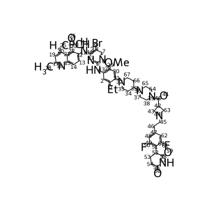 CCc1cc(Nc2ncc(Br)c(Nc3ccc4nc(C)ccc4c3P(C)(C)=O)n2)c(OC)cc1N1CCC(N2CCN(C(=O)C3CN(CCc4cc(F)c(C5CCC(=O)NC5=O)c(F)c4)C3)CC2)CC1